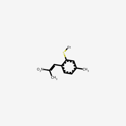 CCSc1cc(C)ccc1C=C(C)[N+](=O)[O-]